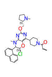 C=CC(=O)N1CCC(c2nc(OC[C@@H]3CCCN3C)nc3c2O[C@@H](C)C(c2cccc4cccc(Cl)c24)N3C)CC1